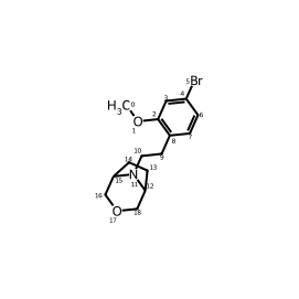 COc1cc(Br)ccc1CCN1C2CCC1COC2